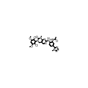 COc1cc(OC)c(Cl)c(N2Cc3cnc(Nc4ccc(-c5nnnn5C)cc4NC(C)=O)nc3N(C)C2=O)c1Cl